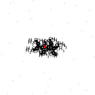 Cc1cc(C2=CC(C(C)(C)CC(C)(C)C)=CC(n3c4ccc(C(C)(C)C)cc4c4cc(C(C)(C)C)ccc43)C2(O)OCCCOc2c(C)cc(C(F)(F)F)cc2-c2cc(C(C)(C)CC(C)(C)C)cc(-n3c4ccc(C(C)(C)C)cc4c4cc(C(C)(C)C)ccc43)c2O)cc(C(F)(F)F)c1